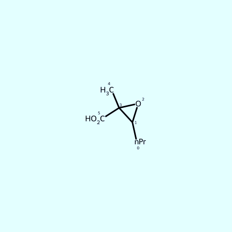 CCCC1OC1(C)C(=O)O